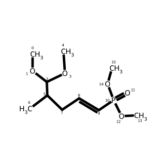 COC(OC)C(C)C/C=C/P(=O)(OC)OC